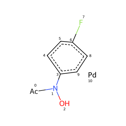 CC(=O)N(O)c1ccc(F)cc1.[Pd]